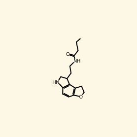 CCCC(=O)NCCC1CNc2ccc3c(c21)CCO3